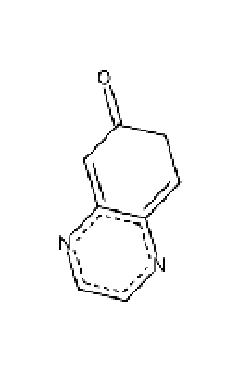 O=C1C=c2nccnc2=CC1